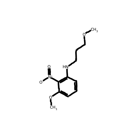 COCCCNc1cccc(OC)c1[N+](=O)[O-]